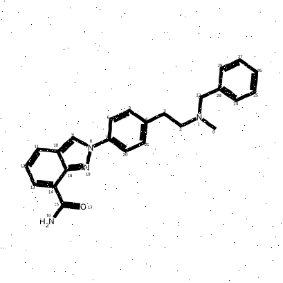 CN(CCc1ccc(-n2cc3cccc(C(N)=O)c3n2)cc1)Cc1ccccc1